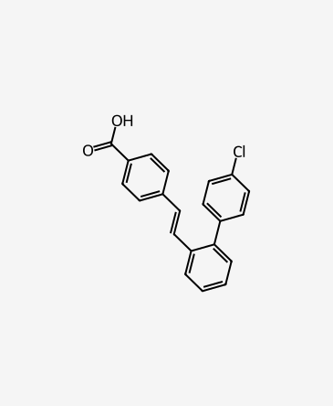 O=C(O)c1ccc(C=Cc2ccccc2-c2ccc(Cl)cc2)cc1